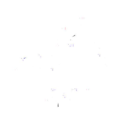 C/C(=C\[C@H](C(C)C)N(C)C(=O)C(NC(=O)[C@@H](N(C)C(=O)OCc1ccc(NC(=O)[C@H](C)NC(=O)C(NC(=O)CCCCCN2C(=O)C=CC2=O)C(C)C)cc1)C(C)(C)c1ccccc1)C(C)(C)C)C(=O)N[C@H](CCC(=O)O)C(=O)O